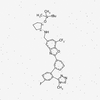 Cn1cnnc1-c1cc(F)ccc1-c1cccc(-c2nc3cc(CN[C@@H]4CCC[C@@H]4O[Si](C)(C)C(C)(C)C)cc(C(F)(F)F)c3o2)c1